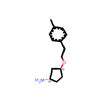 Cc1ccc(CCO[C@H]2CC[C@H](N)C2)cc1